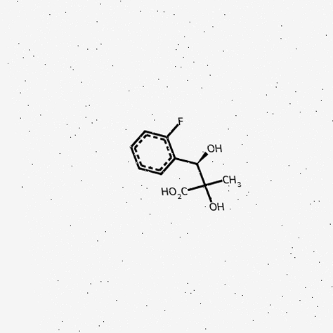 CC(O)(C(=O)O)[C@H](O)c1ccccc1F